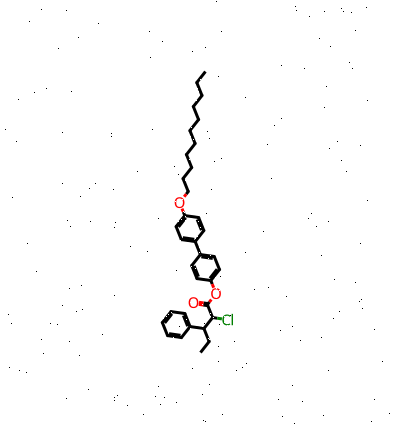 CCCCCCCCCCCOc1ccc(-c2ccc(OC(=O)C(Cl)C(CC)c3ccccc3)cc2)cc1